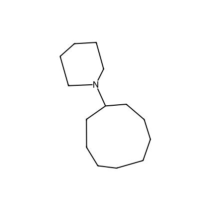 C1CCCCC(N2CCCCC2)CCC1